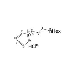 CCCCCCCCPc1ccccc1.Cl